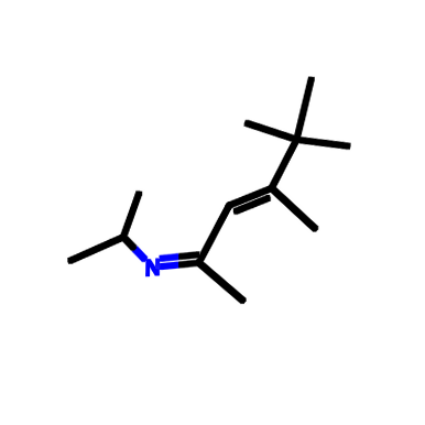 CC(/C=C(\C)C(C)(C)C)=N/C(C)C